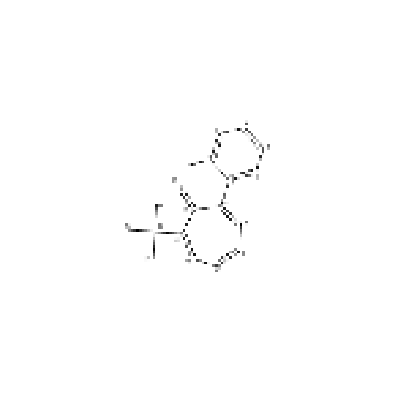 Cc1ccccc1-c1ccccc(C(C)(C)C)c1=O